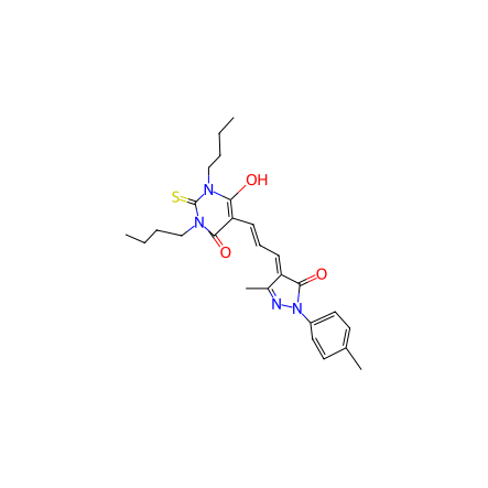 CCCCn1c(O)c(C=CC=C2C(=O)N(c3ccc(C)cc3)N=C2C)c(=O)n(CCCC)c1=S